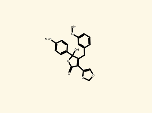 CCCOc1cccc(CC2=C(C3=COCO3)C(=O)OC2(O)c2ccc(OC)cc2)c1